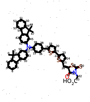 CC1(C)c2ccccc2-c2ccc(N(c3ccc(-c4ccc(-c5ccc(/C=C6\SC(=S)N(CC(=O)O)C6=O)s5)s4)cc3)c3ccc4c(c3)C(C)(C)c3ccccc3-4)cc21